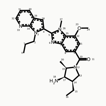 CCCn1c(-c2nc3cc(C(=O)N4C[C@@H](CC)[C@@H](N)[C@H]4C)cc(OC)c3n2C)cc2cccnc21